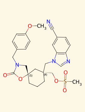 COc1ccc(CN2C[C@@]3(CCC[C@](COS(C)(=O)=O)(Cn4cnc5ccc(C#N)cc54)C3)OC2=O)cc1